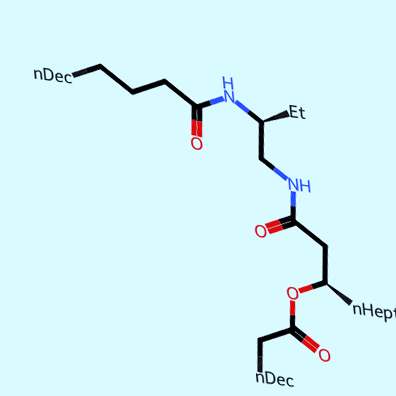 CCCCCCCCCCCCCC(=O)N[C@@H](CC)CNC(=O)C[C@@H](CCCCCCC)OC(=O)CCCCCCCCCCC